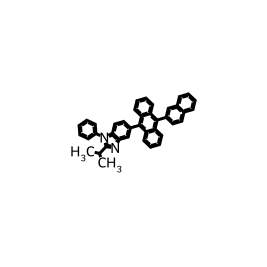 CC(C)c1nc2cc(-c3c4ccccc4c(-c4ccc5ccccc5c4)c4ccccc34)ccc2n1-c1ccccc1